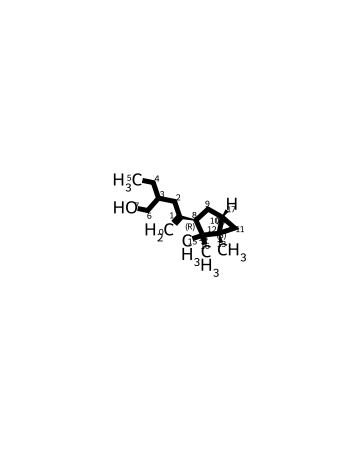 C=C(CC(CC)CO)[C@H]1C[C@@H]2C[C@]2(C)C1(C)C